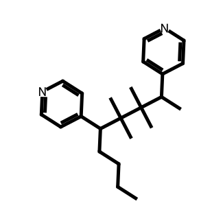 CCCCC(c1ccncc1)C(C)(C)C(C)(C)C(C)c1ccncc1